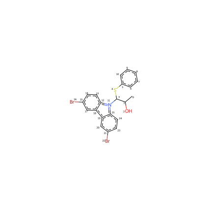 CC(O)C(Sc1ccccc1)n1c2ccc(Br)cc2c2cc(Br)ccc21